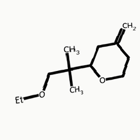 C=C1CCOC(C(C)(C)COCC)C1